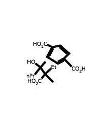 CCCC(C)(O)C(C)(CC)C(=O)O.O=C(O)c1ccc(C(=O)O)cc1